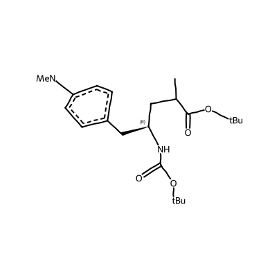 CNc1ccc(C[C@@H](CC(C)C(=O)OC(C)(C)C)NC(=O)OC(C)(C)C)cc1